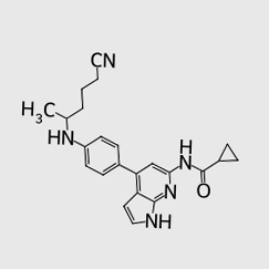 CC(CCCC#N)Nc1ccc(-c2cc(NC(=O)C3CC3)nc3[nH]ccc23)cc1